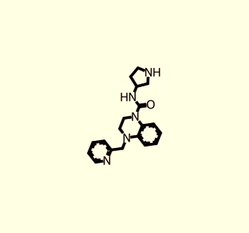 O=C(NC1CCNC1)N1CCN(Cc2ccccn2)c2ccccc21